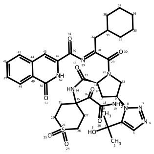 CC(C)(O)c1cnnn1[C@H]1C[C@@H](C(=O)NC2(C(=O)C(N)=O)CCS(=O)(=O)CC2)N(C(=O)/C(CC2CCCCC2)=N/C(=O)c2cc3ccccc3c(=O)[nH]2)C1